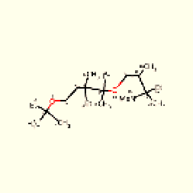 CCC(C)(C)OCCC(C)(CC)C(C)(CC)OCC(C)C(C)(CC)NC